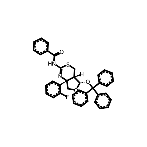 O=C(NC1=N[C@@]2(c3ccccc3F)CO[C@@H](OC(c3ccccc3)(c3ccccc3)c3ccccc3)[C@H]2CS1)c1ccccc1